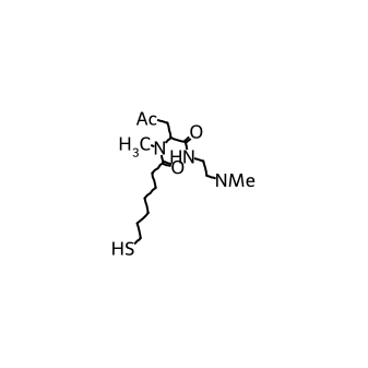 CNCCNC(=O)C(CC(C)=O)N(C)C(=O)CCCCCCS